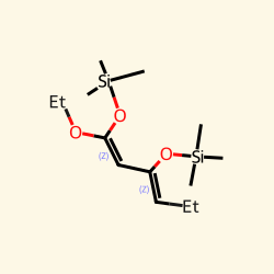 CC/C=C(/C=C(/OCC)O[Si](C)(C)C)O[Si](C)(C)C